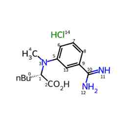 CCCC[C@@H](C(=O)O)N(C)c1cccc(C(=N)N)c1.Cl